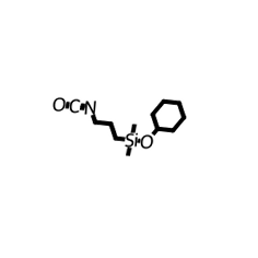 C[Si](C)(CCCN=C=O)OC1CCCCC1